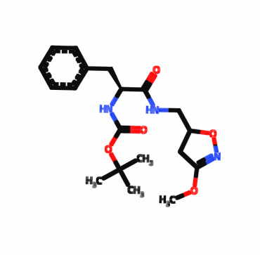 COC1=NOC(CNC(=O)[C@H](Cc2ccccc2)NC(=O)OC(C)(C)C)C1